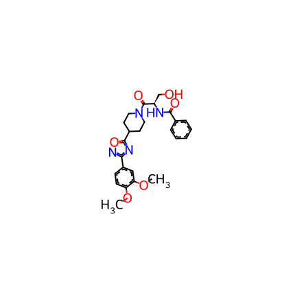 COc1ccc(-c2noc(C3CCN(C(=O)[C@@H](CO)NC(=O)c4ccccc4)CC3)n2)cc1OC